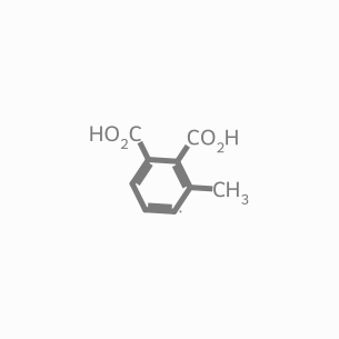 Cc1[c]ccc(C(=O)O)c1C(=O)O